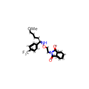 COCCCC[C@@H](NOCCN1C(=O)c2ccccc2C1=O)c1ccc(C(F)(F)F)cc1